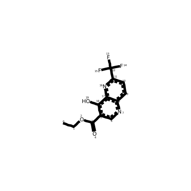 CCOC(=O)c1cnc2ccc(C(F)(F)F)nc2c1O